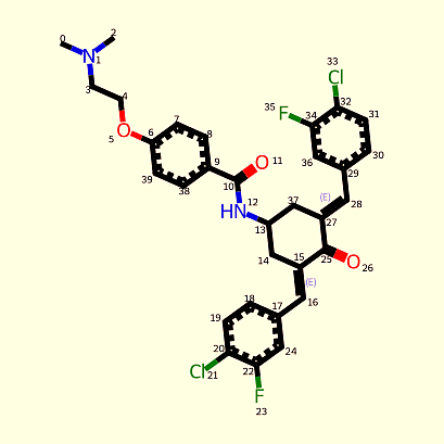 CN(C)CCOc1ccc(C(=O)NC2C/C(=C\c3ccc(Cl)c(F)c3)C(=O)/C(=C/c3ccc(Cl)c(F)c3)C2)cc1